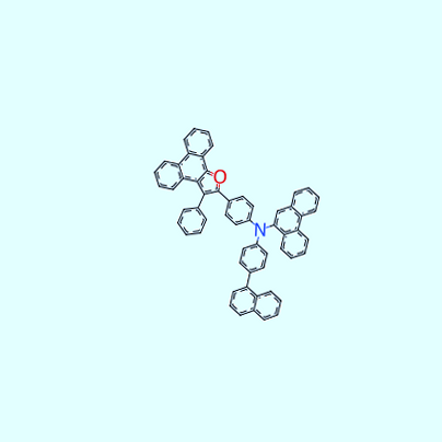 c1ccc(-c2c(-c3ccc(N(c4ccc(-c5cccc6ccccc56)cc4)c4cc5ccccc5c5ccccc45)cc3)oc3c4ccccc4c4ccccc4c23)cc1